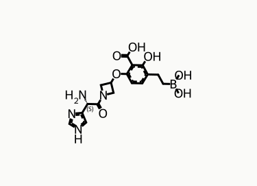 N[C@H](C(=O)N1CC(Oc2ccc(CCB(O)O)c(O)c2C(=O)O)C1)c1c[nH]cn1